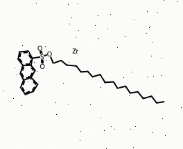 CCCCCCCCCCCCCCCCCCOS(=O)(=O)c1cccc2cc3ccccc3cc12.[Zr]